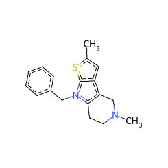 Cc1cc2c3c(n(Cc4ccccc4)c2s1)CCN(C)C3